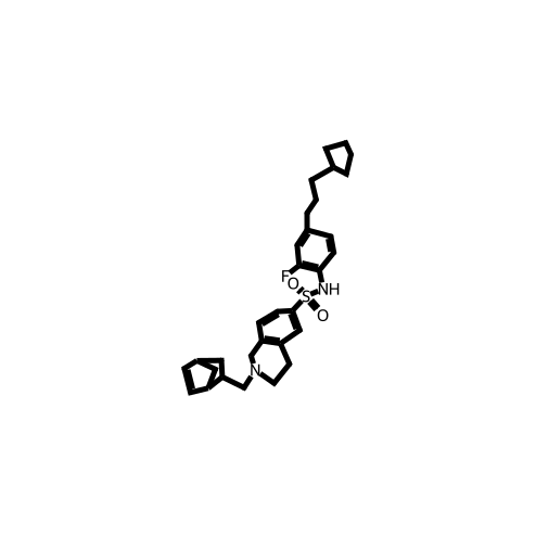 O=S(=O)(Nc1ccc(CCCC2CCCC2)cc1F)c1ccc2c(c1)CCN(CC1CC3C=CC1C3)C2